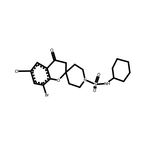 O=C1CC2(CCN(S(=O)(=O)NC3CCCCC3)CC2)Oc2c(Br)cc(Cl)cc21